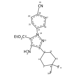 CCOC(=O)c1c(N)c(C2CCC(F)(F)CC2)nn1-c1ccc(C#N)cc1